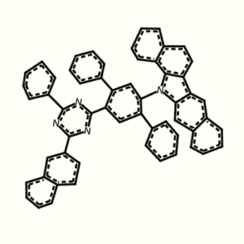 c1ccc(-c2nc(-c3ccc4ccccc4c3)nc(-c3cc(-c4ccccc4)c(-n4c5cc6ccccc6cc5c5ccc6ccccc6c54)cc3-c3ccccc3)n2)cc1